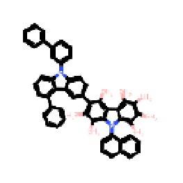 Bc1c(B)c(B)c2c(c1B)c1c(B)c(-c3ccc4c(c3)c3c(-c5ccccc5)cccc3n4-c3cccc(-c4ccccc4)c3)c(B)c(B)c1n2-c1cccc2ccccc12